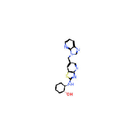 O[C@@H]1CCCC[C@H]1Nc1nc2ncc(Cn3cnc4cccnc43)cc2s1